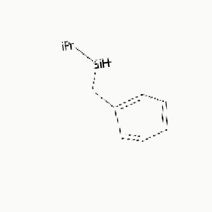 CC(C)[SiH]Cc1ccccc1